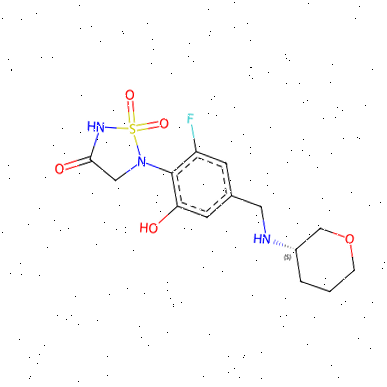 O=C1CN(c2c(O)cc(CN[C@H]3CCCOC3)cc2F)S(=O)(=O)N1